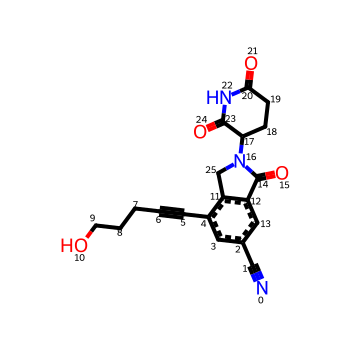 N#Cc1cc(C#CCCCO)c2c(c1)C(=O)N(C1CCC(=O)NC1=O)C2